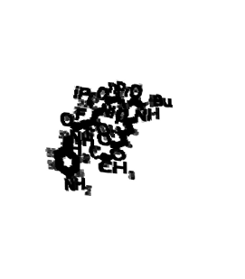 C=C(C)OC(=O)CCCC(=O)N[C@H](C(=O)N[C@@H](CCC)C(=O)N[C@@H](CC(C)C)[C@@H](O)C(F)(F)C(=O)NCc1ccc(N)cc1)[C@@H](C)CC